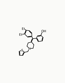 CCc1ccc(C(=C2CCN(Cc3cccs3)CC2)c2cccc(O)c2)cc1CC